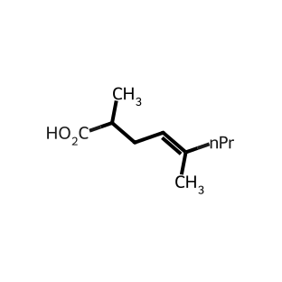 CCC/C(C)=C/CC(C)C(=O)O